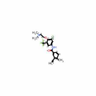 C#Cc1cc(C(=O)Nc2cc(Cl)c(OCCN(C)C)c(C(F)(F)F)c2)ccc1C